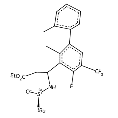 CCOC(=O)CC(N[S@+]([O-])C(C)(C)C)c1c(C)c(-c2ccccc2C)cc(C(F)(F)F)c1F